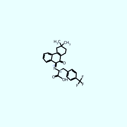 CC1(C)CCC2=C(C1)c1ccccc1/C(=N/[C@@H](Cc1ccc(C(F)(F)F)cc1)C(=O)O)C2=O